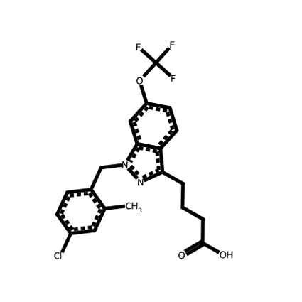 Cc1cc(Cl)ccc1Cn1nc(CCCC(=O)O)c2ccc(OC(F)(F)F)cc21